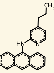 CCCc1ccnc(Nc2c3ccccc3cc3ccccc23)c1